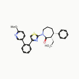 COc1ccc(-c2ccccc2-c2csc(N3CCC[C@H](c4ccccc4)[C@H](CC(=O)O)C3=O)n2)cn1